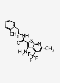 Cc1cc(C(F)(F)F)c2c(N)c(C(=O)NCCc3ccccc3C)sc2n1